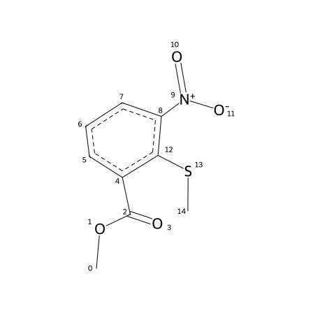 COC(=O)c1cccc([N+](=O)[O-])c1SC